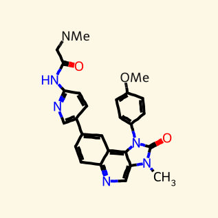 CNCC(=O)Nc1ccc(-c2ccc3ncc4c(c3c2)n(-c2ccc(OC)cc2)c(=O)n4C)cn1